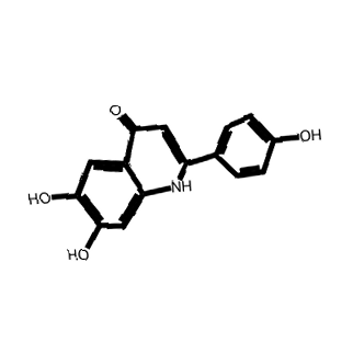 O=c1cc(-c2ccc(O)cc2)[nH]c2cc(O)c(O)cc12